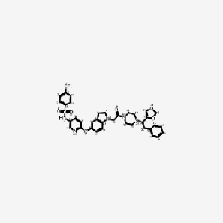 O=C(CN1CCc2cc(Oc3ccc(NS(=O)(=O)c4ccc(C(F)(F)F)cc4)cn3)ccc21)N1CCN(C(Cc2ccccc2)C2=COCO2)CC1